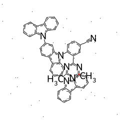 Cc1nc(C)nc(-c2cc(C#N)ccc2-n2c3cc(-n4c5ccccc5c5ccccc54)ccc3c3ccc(-n4c5ccccc5c5ccccc54)cc32)n1